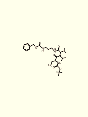 CC(C)C(C(=O)NCCCNC(=O)OCc1ccccc1)N(C(=O)C(CO)NC(=O)OC(C)(C)C)C(C)C